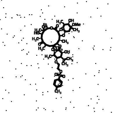 CC[C@H]1OC(=O)[C@H](C)[C@@H](O[C@H]2C[C@@](C)(OC)[C@@H](O)[C@H](C)O2)[C@H](C)[C@@H](O[C@@H]2O[C@H](C)[C@@H](OCCOS(=O)(=O)c3ccc(C)cc3)[C@H](N(C)C)[C@H]2O)[C@](C)(O)C[C@@H](C)C(=O)[C@H](C)[C@@H](O)[C@]1(C)O